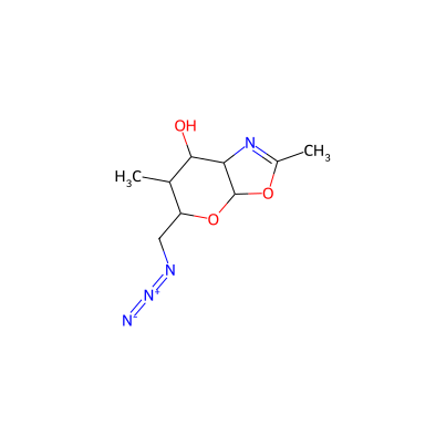 CC1=NC2C(O1)OC(CN=[N+]=[N-])C(C)C2O